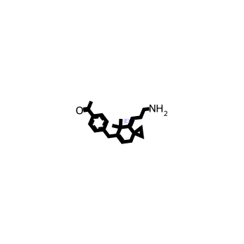 CC(=O)c1ccc(CC2=CCC3(CC3)/C(=C\CCN)C2(C)C)cc1